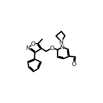 Cc1onc(-c2ccccc2)c1COC1C=CC(C=O)=CN1N1CCC1